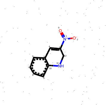 O=[N+]([O-])C1=Cc2ccccc2NC1